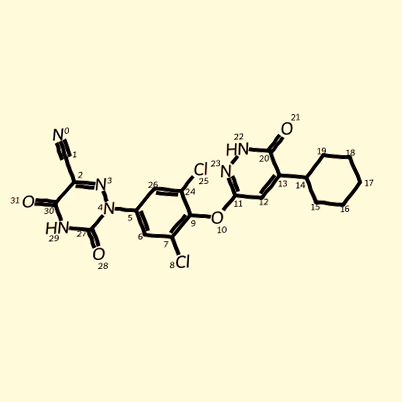 N#Cc1nn(-c2cc(Cl)c(Oc3cc(C4CCCCC4)c(=O)[nH]n3)c(Cl)c2)c(=O)[nH]c1=O